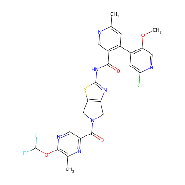 COc1cnc(Cl)cc1-c1cc(C)ncc1C(=O)Nc1nc2c(s1)CN(C(=O)c1cnc(OC(F)F)c(C)n1)C2